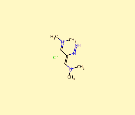 CN(C)C=C(C=[N+](C)C)N=N.[Cl-]